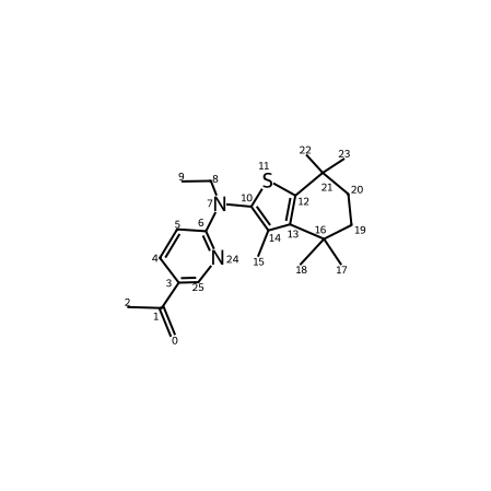 C=C(C)c1ccc(N(CC)c2sc3c(c2C)C(C)(C)CCC3(C)C)nc1